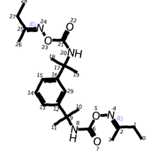 CC/C(C)=N/OC(=O)NC(C)(C)c1cccc(C(C)(C)NC(=O)O/N=C(\C)CC)c1